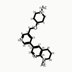 CC(=O)N1CCC(OCc2cncc(-c3cnc4c(c3)CCCN4C(C)=O)c2)CC1